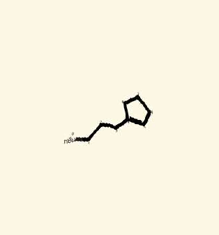 CCCCCCCC1=CCCC1